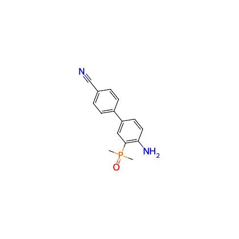 CP(C)(=O)c1cc(-c2ccc(C#N)cc2)ccc1N